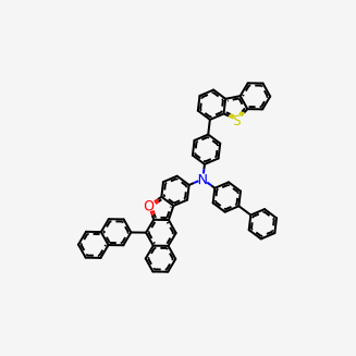 c1ccc(-c2ccc(N(c3ccc(-c4cccc5c4sc4ccccc45)cc3)c3ccc4oc5c(-c6ccc7ccccc7c6)c6ccccc6cc5c4c3)cc2)cc1